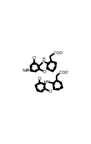 O=C([O-])Cc1ccccc1Nc1c(Cl)cccc1Cl.O=C([O-])Cc1ccccc1Nc1c(Cl)cccc1Cl.[Na+].[Na+]